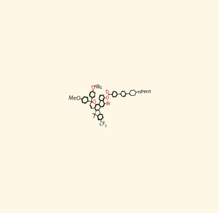 CCCCCC1CCC(c2ccc(-c3ccc(C(=O)Oc4cccc5c4c(Br)cc4c6c(c7c(c45)OC(c4ccc(OC)cc4)(c4ccc(OCCCC)cc4)C=C7)C(C)(C)c4cc(C(F)(F)F)ccc4-6)cc3)cc2)CC1